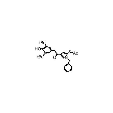 CC(=O)Sc1cc(C(=O)Cc2cc(C(C)(C)C)c(O)c(C(C)(C)C)c2)cn1Cc1ccccc1